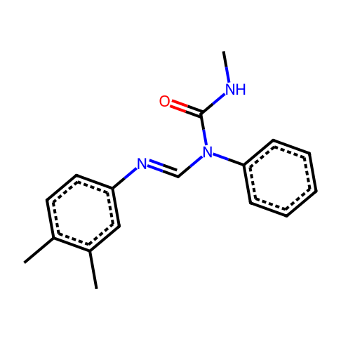 CNC(=O)N(C=Nc1ccc(C)c(C)c1)c1ccccc1